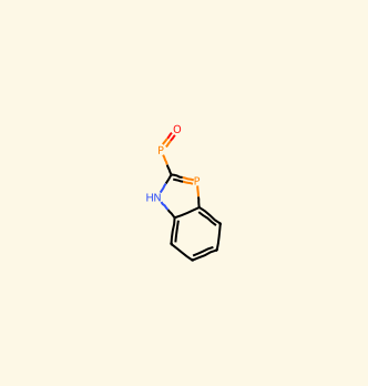 O=Pc1[nH]c2ccccc2p1